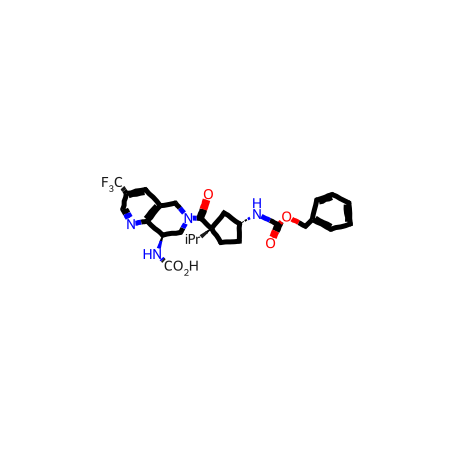 CC(C)[C@]1(C(=O)N2Cc3cc(C(F)(F)F)cnc3[C@H](NC(=O)O)C2)CC[C@@H](NC(=O)OCc2ccccc2)C1